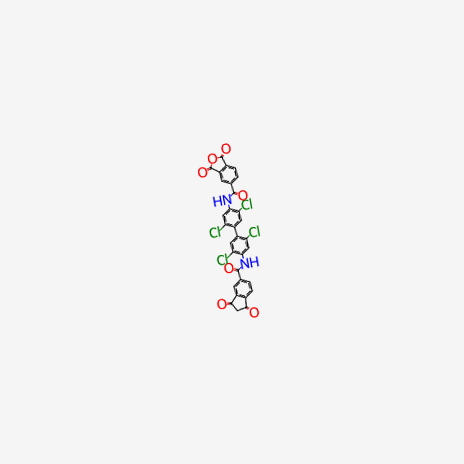 O=C(Nc1cc(Cl)c(-c2cc(Cl)c(NC(=O)c3ccc4c(c3)C(=O)OC4=O)cc2Cl)cc1Cl)c1ccc2c(c1)C(=O)CC2=O